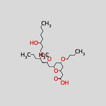 CCCCC[C@H](O)CCOC(CCC)C[C@H](CC1C[C@H](OCCCC)CC(CC(=O)O)O1)OC